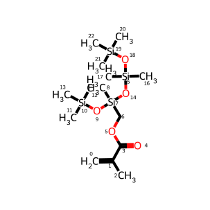 C=C(C)C(=O)OC[Si](C)(O[Si](C)(C)C)O[Si](C)(C)O[Si](C)(C)C